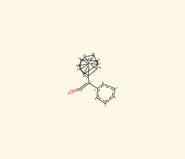 O=C=C(c1ccccc1)[C]12[CH]3[CH]4[CH]5[CH]1[Fe]45321678[CH]2[CH]1[CH]6[CH]7[CH]28